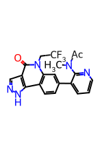 CC(=O)N(C)c1ncccc1-c1ccc2c3[nH]ncc3c(=O)n(CC(F)(F)F)c2c1